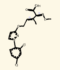 CO/N=C(C(=O)O)\C(C)=C\COc1ccn(-c2ccc(Cl)cc2Cl)n1